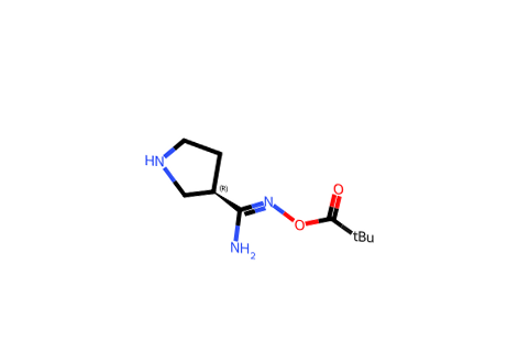 CC(C)(C)C(=O)ON=C(N)[C@@H]1CCNC1